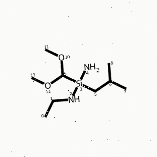 CCN[Si](N)(CC(C)C)C(OC)OC